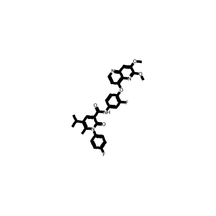 COc1cc2nccc(Oc3ccc(NC(=O)c4cc(C(C)C)c(C)n(-c5ccc(F)cc5)c4=O)cc3F)c2nc1OC